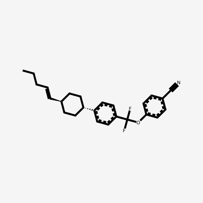 CCCC=C[C@H]1CC[C@H](c2ccc(C(F)(F)Oc3ccc(C#N)cc3)cc2)CC1